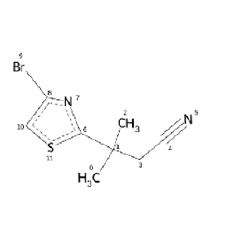 CC(C)(CC#N)c1nc(Br)cs1